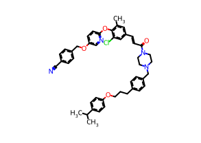 Cc1cc(C=CC(=O)N2CCN(Cc3ccc(CCCOc4ccc(C(C)C)cc4)cc3)CC2)cc(Cl)c1Oc1ccc(OCc2ccc(C#N)cc2)cn1